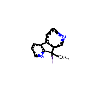 CC1(I)c2cnccc2-c2cccnc21